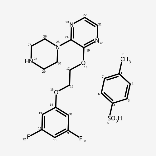 Cc1ccc(S(=O)(=O)O)cc1.Fc1cc(F)cc(OCCOc2nccnc2N2CCNCC2)c1